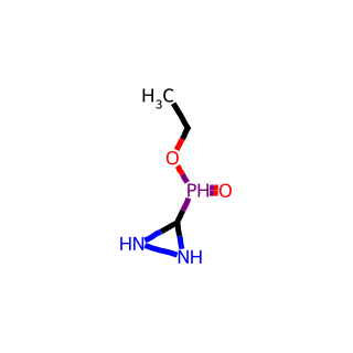 CCO[PH](=O)C1NN1